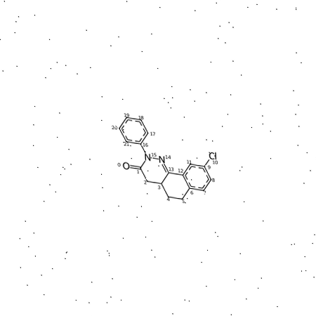 O=C1CC2CCc3ccc(Cl)cc3C2=NN1c1ccccc1